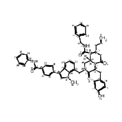 C=CCN1CC(=O)N2[C@@H](Cc3ccc(O)cc3)C(=O)N(Cc3cccc4c(-c5ccc(C(=O)Nc6ccccc6)cc5)cn(C)c34)C[C@@H]2N1C(=O)NCc1ccccc1